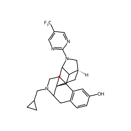 Oc1ccc2c(c1)C13CCN(CC4CC4)C(C2)C12CCC1C3[C@@H](CN1c1ncc(C(F)(F)F)cn1)C2